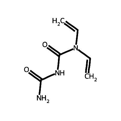 C=CN(C=C)C(=O)NC(N)=O